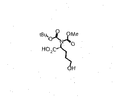 COC(=O)N(C(=O)OC(C)(C)C)[C@@H](CCCO)C(=O)O